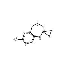 Cc1cnc2c(c1)SNCC1(CC1)O2